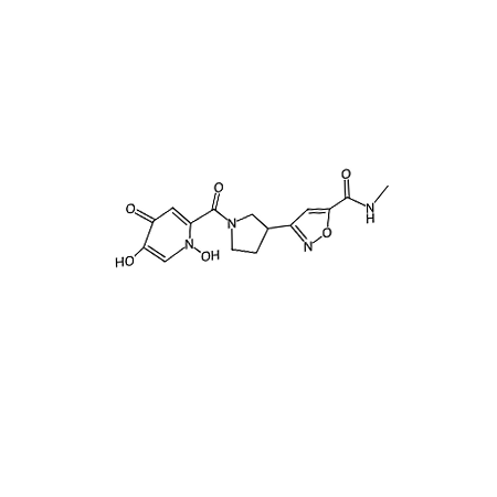 CNC(=O)c1cc(C2CCN(C(=O)c3cc(=O)c(O)cn3O)C2)no1